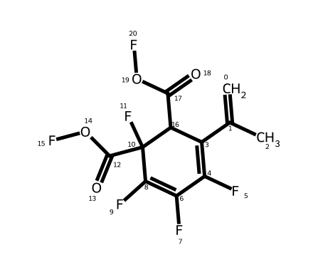 C=C(C)C1=C(F)C(F)=C(F)C(F)(C(=O)OF)C1C(=O)OF